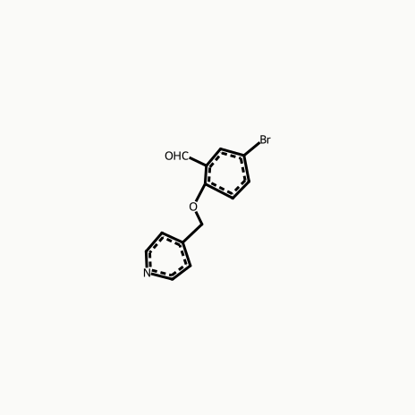 O=Cc1cc(Br)ccc1OCc1ccncc1